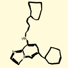 c1cn2cc(C3CCCCC3)cc(NCCC3CCCCC3)c2n1